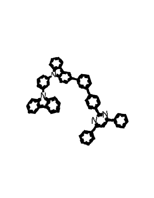 c1ccc(-c2cc(-c3ccccc3)nc(-c3ccc(-c4cccc(-c5ccc6c(c5)c5ccccc5n6-c5cccc(-n6c7ccccc7c7ccccc76)c5)c4)cc3)n2)cc1